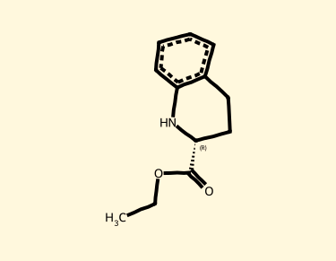 CCOC(=O)[C@H]1CCc2ccccc2N1